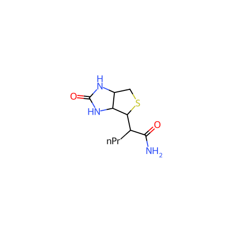 CCCC(C(N)=O)C1SCC2NC(=O)NC21